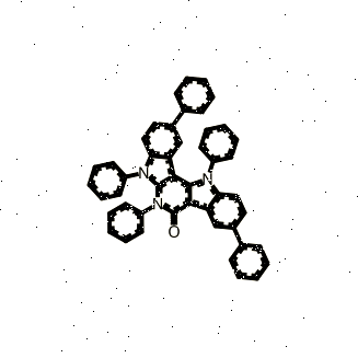 O=c1c2c3cc(-c4ccccc4)ccc3n(-c3ccccc3)c2c2c3cc(-c4ccccc4)ccc3n(-c3ccccc3)c2n1-c1ccccc1